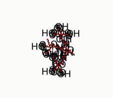 CCCCCc1cc(C(=O)NCCCn2cc(COc3c(OCc4cn(CCCNC(=O)c5cc(OCCCCS(=O)(=O)O)c(OCCCS(=O)(=O)O)c(OCCCS(=O)(=O)O)c5)nn4)cc(C(=O)NCCCC)cc3OCc3cn(CCCNC(=O)c4cc(OCCCS(=O)(=O)O)c(OCCCS(=O)(=O)O)c(OCCCS(=O)(=O)O)c4)nn3)nn2)cc(CCCCS(=O)(=O)O)c1CCCCS(=O)(=O)O